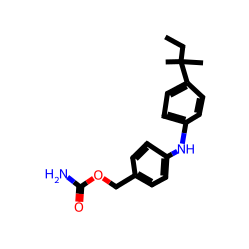 CCC(C)(C)c1ccc(Nc2ccc(COC(N)=O)cc2)cc1